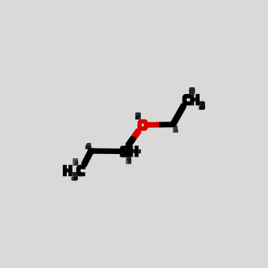 CCO[SiH]CC